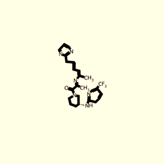 CC(=C/C=C/Cc1ncccn1)/N=C(\C)C(=O)N1CCC[C@@H](NC2=NC=C(C(F)(F)F)C=CC2)C1